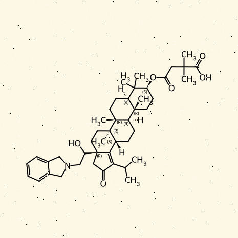 CC(C)C1=C2[C@H]3CC[C@@H]4[C@@]5(C)CC[C@H](OC(=O)CC(C)(C)C(=O)O)C(C)(C)[C@@H]5CC[C@@]4(C)[C@]3(C)CC[C@@]2(C(O)CN2Cc3ccccc3C2)CC1=O